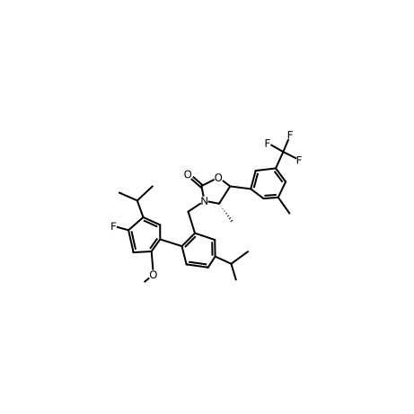 COc1cc(F)c(C(C)C)cc1-c1ccc(C(C)C)cc1CN1C(=O)OC(c2cc(C)cc(C(F)(F)F)c2)[C@@H]1C